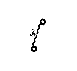 [S]C(=S)N(CCCCc1ccccc1)CCCCc1ccccc1